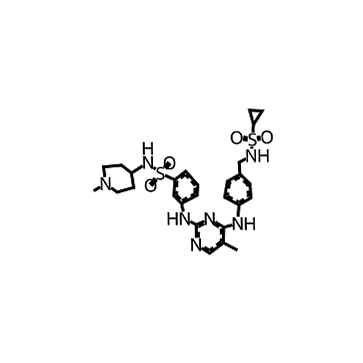 Cc1cnc(Nc2cccc(S(=O)(=O)NC3CCN(C)CC3)c2)nc1Nc1ccc(CNS(=O)(=O)C2CC2)cc1